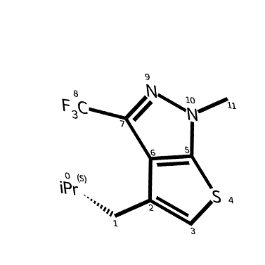 [CH2][C@@H](C)Cc1csc2c1c(C(F)(F)F)nn2C